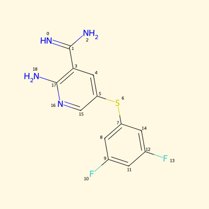 N=C(N)c1cc(Sc2cc(F)cc(F)c2)cnc1N